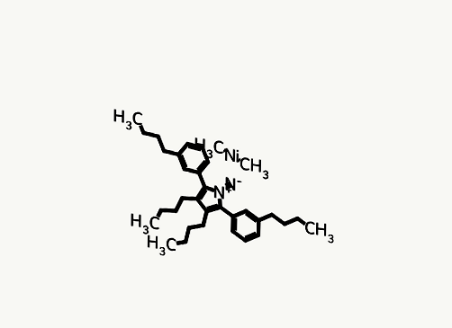 CCCCC1=C(c2cccc(CCCC)c2)[N+](=[N-])C(c2cccc(CCCC)c2)=C1CCCC.[CH3][Ni][CH3]